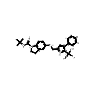 CC(C)(C)OC(=O)N1CCc2cc(OCc3cc(-c4ccccc4)c(C(F)(F)F)s3)ccc21